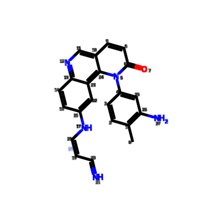 Cc1ccc(-n2c(=O)ccc3cnc4ccc(N/C=C\C=N)cc4c32)cc1N